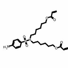 C=CC(=O)OCCCCCCN(CCCCCCOC(=O)C=C)S(=O)(=O)c1ccc(N)cc1